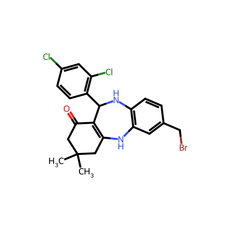 CC1(C)CC(=O)C2=C(C1)Nc1cc(CBr)ccc1NC2c1ccc(Cl)cc1Cl